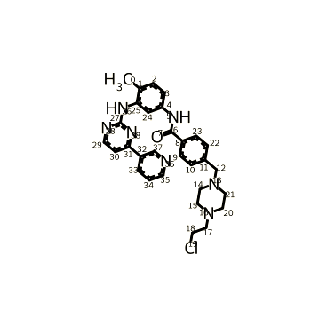 Cc1ccc(NC(=O)c2ccc(CN3CCN(CCCl)CC3)cc2)cc1Nc1nccc(-c2cccnc2)n1